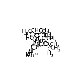 CC(C)(C)c1cc(C=N[C@@H]2CCCC[C@H]2N=Cc2cc(C(C)(C)C)cc(C(C)(C)C)c2O)c(O)c(C(C)(C)C)c1.[Cl-].[Cl-].[Cl-].[Mn+3]